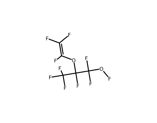 FOC(F)(F)C(F)(OC(F)=C(F)F)C(F)(F)F